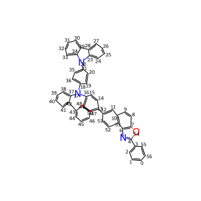 c1ccc(-c2nc3c(ccc4cc(-c5ccc(N(c6ccc(-n7c8ccccc8c8ccccc87)cc6)c6ccccc6-c6ccccc6)cc5)ccc43)o2)cc1